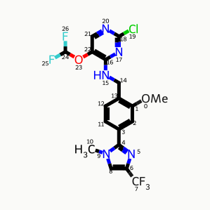 COc1cc(-c2nc(C(F)(F)F)cn2C)ccc1CNc1nc(Cl)ncc1OC(F)F